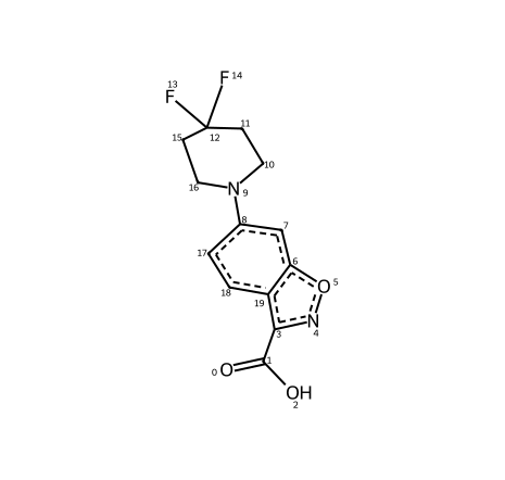 O=C(O)c1noc2cc(N3CCC(F)(F)CC3)ccc12